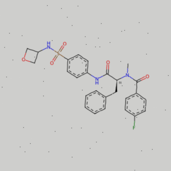 CN(C(=O)c1ccc(F)cc1)[C@@H](Cc1ccccc1)C(=O)Nc1ccc(S(=O)(=O)NC2COC2)cc1